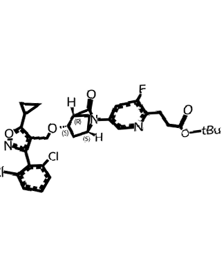 CC(C)(C)OC(=O)CCc1ncc(N2C(=O)[C@@H]3C[C@H]2C[C@@H]3OCc2c(-c3c(Cl)cccc3Cl)noc2C2CC2)cc1F